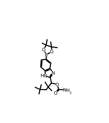 CC(C)(C)CC(C)(C)C(OC(N)=O)c1nc2cc(B3OC(C)(C)C(C)(C)O3)ccc2[nH]1